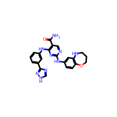 NC(=O)c1cnc(Nc2ccc3c(c2)NCCCO3)nc1Nc1cccc(-c2nc[nH]n2)c1